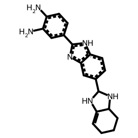 Nc1ccc(-c2nc3cc(C4NC5=CCCCC5N4)ccc3[nH]2)cc1N